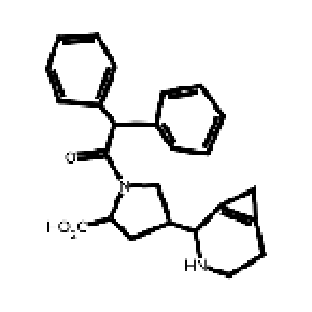 O=C(O)C1CC(C2NCCC3=C2C3)CN1C(=O)C(c1ccccc1)c1ccccc1